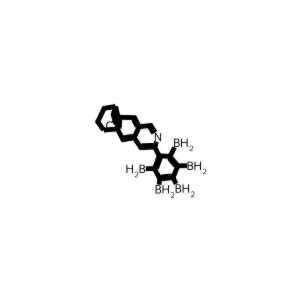 Bc1c(B)c(B)c(-c2cc3cc4c(cc3cn2)C2CCCC4CC2)c(B)c1B